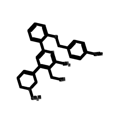 COc1ccc(COc2ccccc2-c2cc(C3=CCCN(C(=O)O)C3)c(CO)c(N)n2)cc1